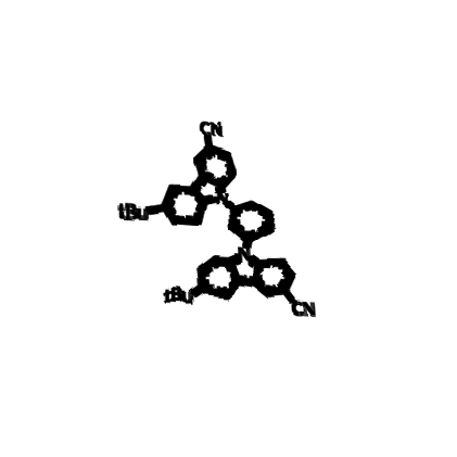 CC(C)(C)c1ccc2c(c1)c1cc(C#N)ccc1n2-c1cccc(-n2c3ccc(C#N)cc3c3cc(C(C)(C)C)ccc32)c1